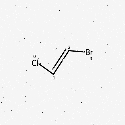 ClC=CBr